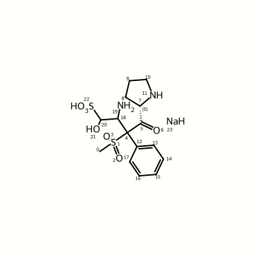 CS(=O)(=O)C(C(=O)[C@@H]1CCCN1)(c1ccccc1)C(N)C(O)S(=O)(=O)O.[NaH]